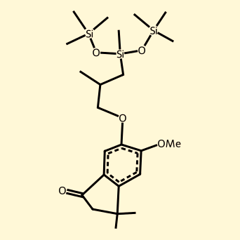 COc1cc2c(cc1OCC(C)C[Si](C)(O[Si](C)(C)C)O[Si](C)(C)C)C(=O)CC2(C)C